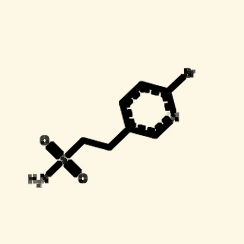 NS(=O)(=O)CCc1ccc(Br)nc1